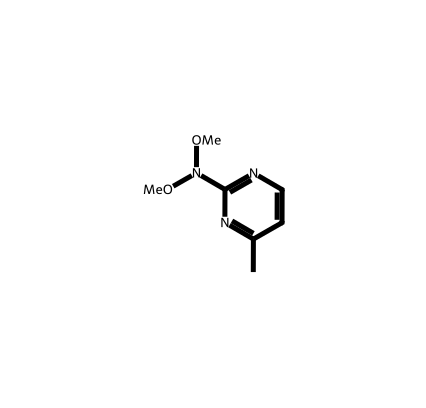 CON(OC)c1nccc(C)n1